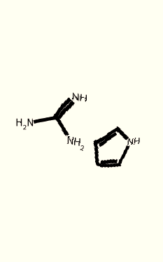 N=C(N)N.c1cc[nH]c1